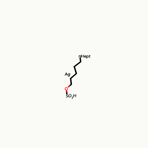 CCCCCCCCCCCCOS(=O)(=O)O.[Ag]